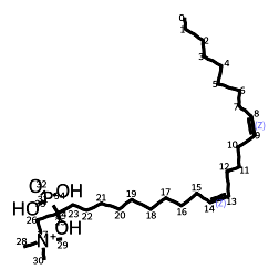 CCCCCCCC/C=C\CCC/C=C\CCCCCCCCCC(O)(C[N+](C)(C)C)P(=O)(O)O